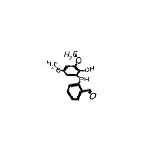 COc1cc(OC)c(O)c(Pc2ccccc2C=O)c1